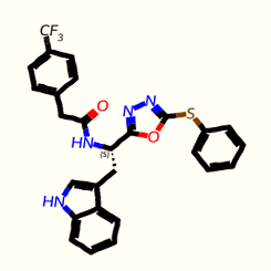 O=C(Cc1ccc(C(F)(F)F)cc1)N[C@@H](Cc1c[nH]c2ccccc12)c1nnc(Sc2ccccc2)o1